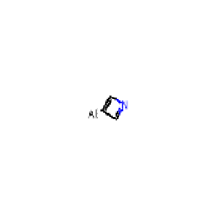 C1=CN=C1.[Al]